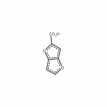 O=C(O)c1cc2occc2o1